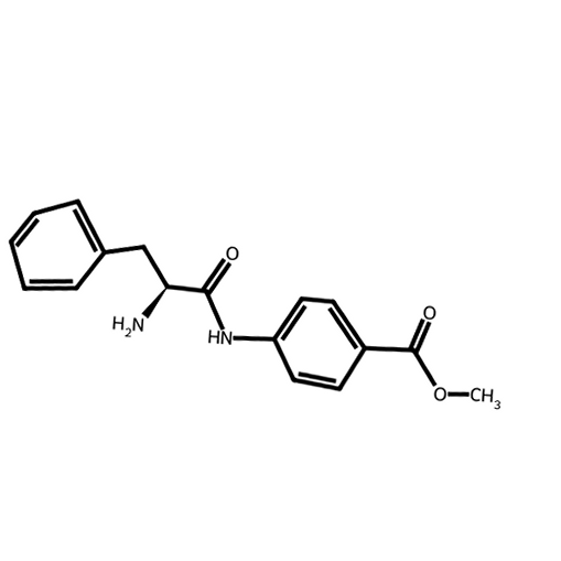 COC(=O)c1ccc(NC(=O)[C@@H](N)Cc2ccccc2)cc1